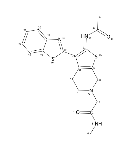 CNC(=O)CN1CCc2c(sc(NC(C)=O)c2-c2nc3ccccc3s2)C1